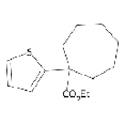 CCOC(=O)C1(c2cccs2)CCCCCC1